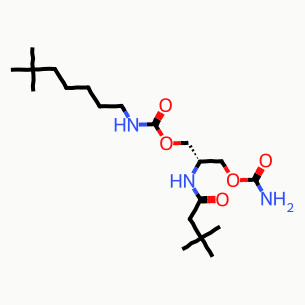 CC(C)(C)CCCCCNC(=O)OC[C@H](COC(N)=O)NC(=O)CC(C)(C)C